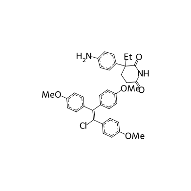 CCC1(c2ccc(N)cc2)CCC(=O)NC1=O.COc1ccc(C(Cl)=C(c2ccc(OC)cc2)c2ccc(OC)cc2)cc1